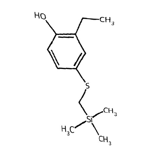 CCc1cc(SC[Si](C)(C)C)ccc1O